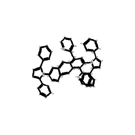 c1ccc(-c2ccc(-c3ccccc3)n2-c2ccc3cc4c(-c5ccccn5)c(-n5c(-c6ccccc6)ccc5-c5ccccc5)cc(-c5ccccn5)c4cc3c2)cc1